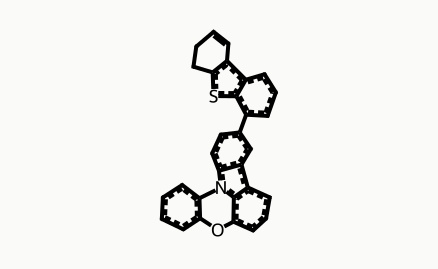 C1=Cc2c(sc3c(-c4ccc5c(c4)c4cccc6c4n5-c4ccccc4O6)cccc23)CC1